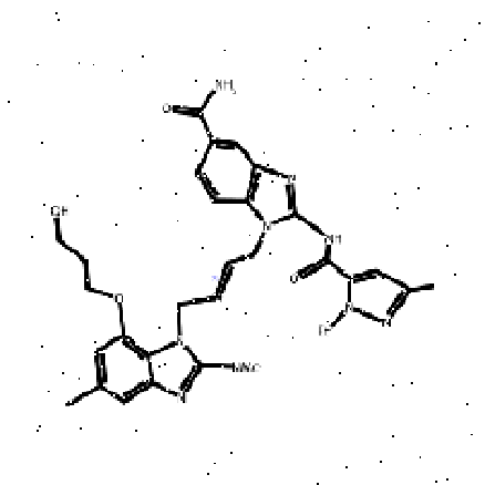 CCn1nc(C)cc1C(=O)Nc1nc2cc(C(N)=O)ccc2n1C/C=C/Cn1c(NC)nc2cc(C)cc(OCCCO)c21